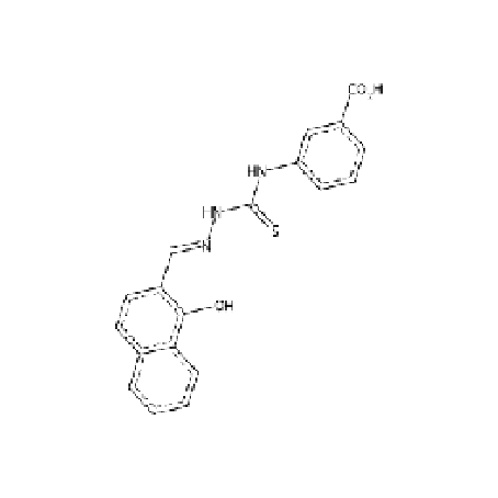 O=C(O)c1cccc(NC(=S)NN=Cc2ccc3ccccc3c2O)c1